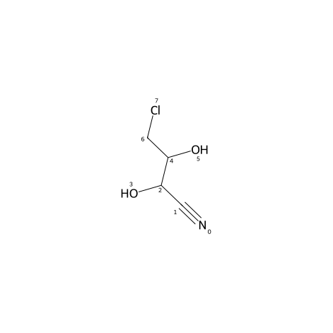 N#CC(O)C(O)CCl